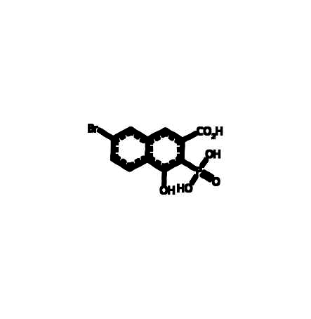 O=C(O)c1cc2cc(Br)ccc2c(O)c1P(=O)(O)O